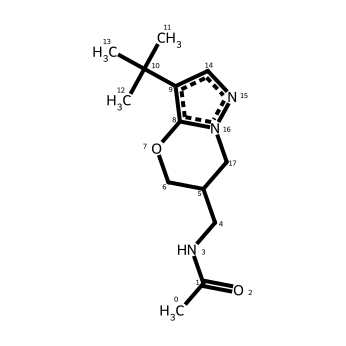 CC(=O)NCC1COc2c(C(C)(C)C)cnn2C1